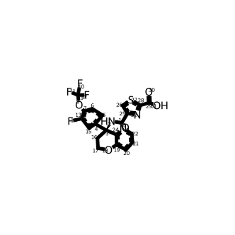 O=C(N[C@]1(c2ccc(OC(F)(F)F)c(F)c2)CCOc2cccnc21)c1csc(C(=O)O)n1